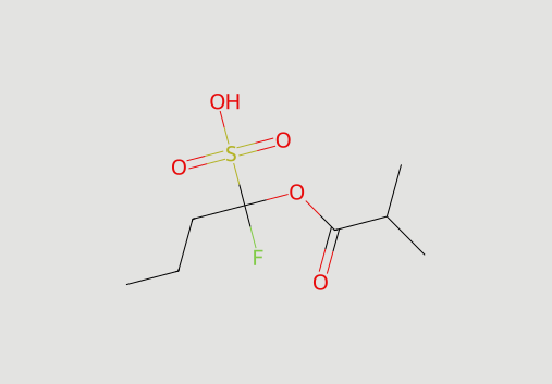 CCCC(F)(OC(=O)C(C)C)S(=O)(=O)O